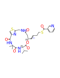 CC(C)[C@@H]1NC(=O)C(C)(C)NC(=O)c2csc(n2)CNC(=O)C[C@@H](/C=C/CCSC(=O)c2cccnc2)OC1=O